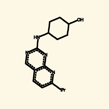 CC(C)c1ccc2cnc(NC3CCC(O)CC3)nc2n1